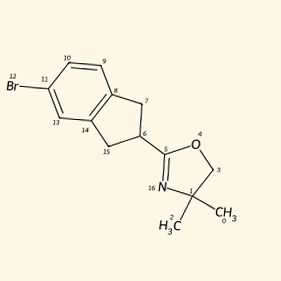 CC1(C)COC(C2Cc3ccc(Br)cc3C2)=N1